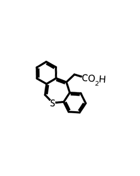 O=C(O)CC1=c2ccccc2=CSc2ccccc21